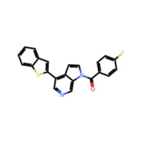 O=C(c1ccc(F)cc1)n1ccc2c(-c3cc4ccccc4s3)cncc21